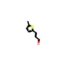 Cc1ccc(C=CC=O)s1